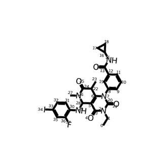 CCn1c(=O)c2c(n(-c3cccc(C(=O)NC4CC4)c3)c1=O)C(C)C(=O)N(C)C2Nc1ccc(I)cc1F